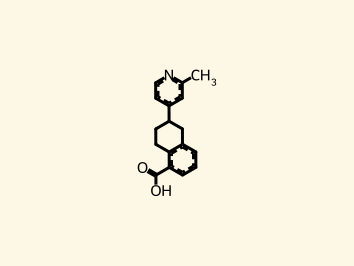 Cc1cc(C2CCc3c(cccc3C(=O)O)C2)ccn1